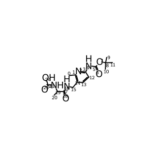 Cc1nc(NC(=O)OC(C)(C)C)ccc1CNC(=O)C(C)NC(=O)O